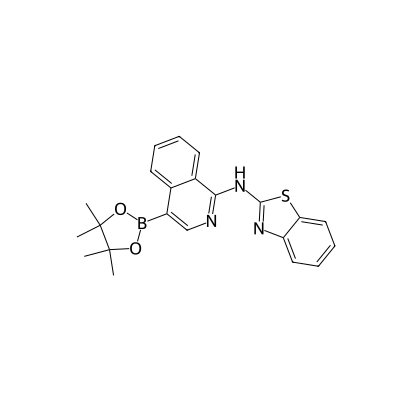 CC1(C)OB(c2cnc(Nc3nc4ccccc4s3)c3ccccc23)OC1(C)C